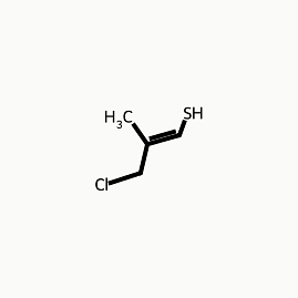 C/C(=C\S)CCl